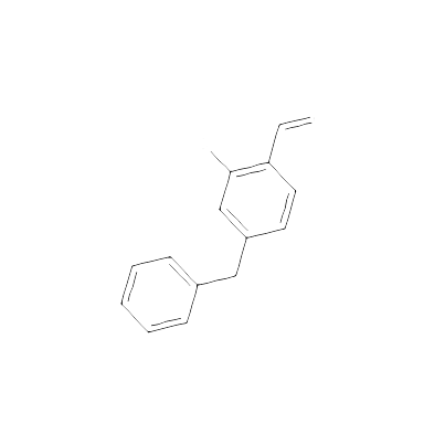 O=Cc1ccc(Cc2ccccc2)cc1O